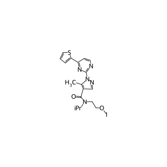 Cc1c(C(=O)N(CCOI)C(C)C)cnn1-c1nccc(-c2cccs2)n1